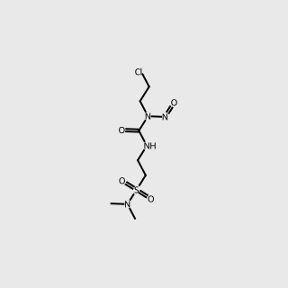 CN(C)S(=O)(=O)CCNC(=O)N(CCCl)N=O